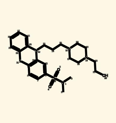 CN(C)S(=O)(=O)c1ccc2c(c1)N(CCCN1CCN(CCO)CC1)c1ccccc1S2